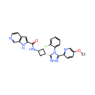 CCOc1ccc(-c2nnc([C@H]3C[C@H](NC(=O)c4cc5ccncc5[nH]4)C3)n2-c2ccccc2F)nc1